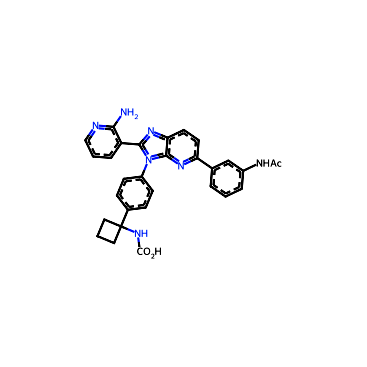 CC(=O)Nc1cccc(-c2ccc3nc(-c4cccnc4N)n(-c4ccc(C5(NC(=O)O)CCC5)cc4)c3n2)c1